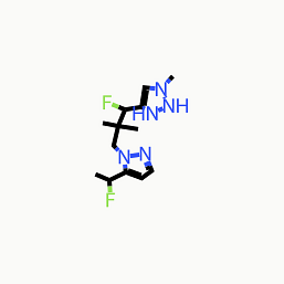 CC(F)c1ccnn1CC(C)(C)C(F)C1=CN(C)NN1